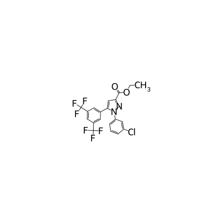 CCOC(=O)c1cc(-c2cc(C(F)(F)F)cc(C(F)(F)F)c2)n(-c2cccc(Cl)c2)n1